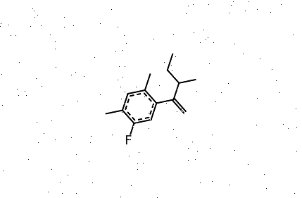 C=C(c1cc(F)c(C)cc1C)C(C)CC